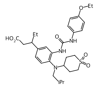 CCOc1ccc(NC(=O)Nc2cc(C(CC)CC(=O)O)ccc2N(CC(C)C)C2CCS(=O)(=O)CC2)cc1